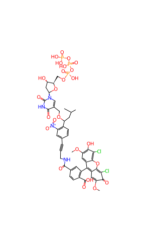 COc1cc2c(-c3cc(C(=O)NCC#Cc4ccc(C(CC(C)C)OCc5cn([C@H]6C[C@@H](O)[C@@H](COP(=O)(O)OP(=O)(O)OP(=O)(O)O)O6)c(=O)[nH]c5=O)c([N+](=O)[O-])c4)ccc3C(=O)O)c3cc(OC)c(=O)c(Cl)c-3oc2c(Cl)c1O